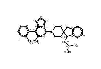 Cc1nc(N2CCC3(CC2)Cc2ccccc2[C@H]3N[S+]([O-])C(C)(C)C)n2ccnc2c1-c1cccnc1C(F)(F)F